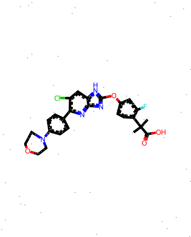 CC(C)(C(=O)O)c1ccc(Oc2nc3nc(-c4ccc(N5CCOCC5)cc4)c(Cl)cc3[nH]2)cc1F